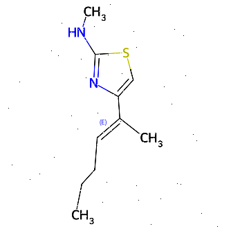 CCC/C=C(\C)c1csc(NC)n1